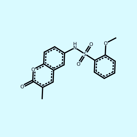 COc1ccccc1S(=O)(=O)Nc1ccc2oc(=O)c(C)cc2c1